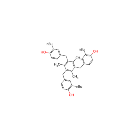 CCCCc1cc(Cc2c(C)c(Cc3ccc(O)c(CCCC)c3)c(C)c(Cc3ccc(O)c(CCCC)c3)c2C)ccc1O